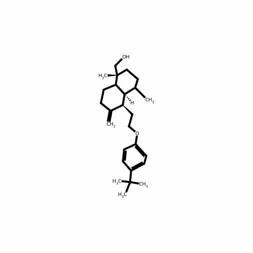 C=C1CCC2[C@@H](C(C)CC[C@@]2(C)CO)[C@H]1CCOc1ccc(C(C)(C)C)cc1